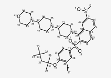 C[S+]([O-])c1ccc2ncc(S(=O)(=O)c3ccc(OC(C)(C)CC(C)(C)C)c(F)c3)c(N3CCC(N4CCC(N5CCOCC5)CC4)CC3)c2c1